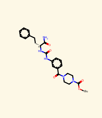 CC(C)(C)OC(=O)N1CCN(C(=O)c2cccc(NC(=O)N[C@H](CCc3ccccc3)C(N)=O)c2)CC1